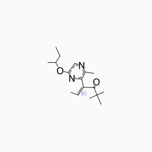 C/C=C(/C(=O)C(C)(C)C)c1nc(OC(C)CC)cnc1C